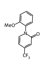 COc1ccccc1-n1ccc(C(F)(F)F)cc1=O